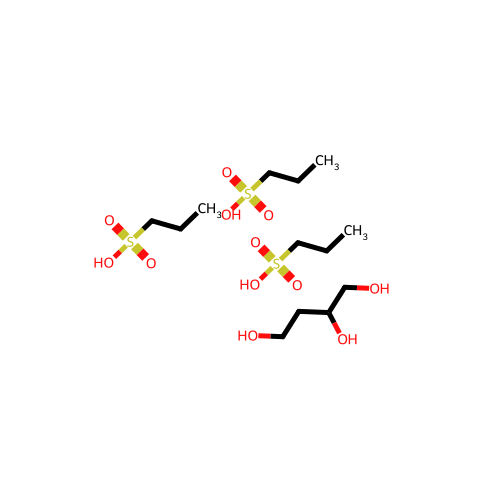 CCCS(=O)(=O)O.CCCS(=O)(=O)O.CCCS(=O)(=O)O.OCCC(O)CO